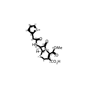 COC(=O)C1=C(C(=O)O)CS[C@H]2C(NC(=O)Cc3cccs3)C(=O)N12